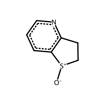 [O-][S+]1CCc2ncccc21